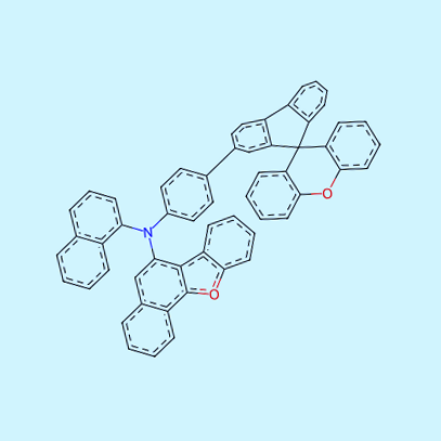 c1ccc2c(c1)Oc1ccccc1C21c2ccccc2-c2ccc(-c3ccc(N(c4cccc5ccccc45)c4cc5ccccc5c5oc6ccccc6c45)cc3)cc21